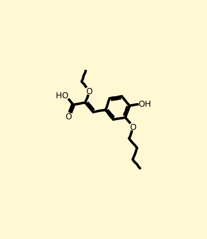 CCCCOc1cc(C=C(OCC)C(=O)O)ccc1O